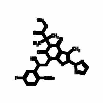 COc1ccc(F)cc1C(O)Cn1c(=O)n(C(C)(C)C(=O)OC(C)(C)C)c(=O)c2c(C)c(-n3nccn3)sc21